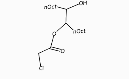 CCCCCCCCC(O)C(CCCCCCCC)OC(=O)CCl